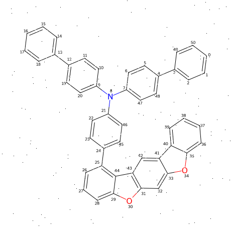 c1ccc(-c2ccc(N(c3ccc(-c4ccccc4)cc3)c3ccc(-c4cccc5oc6cc7oc8ccccc8c7cc6c45)cc3)cc2)cc1